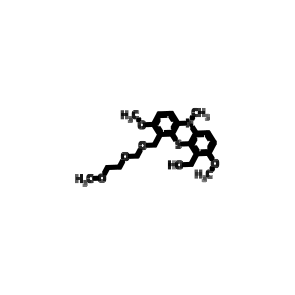 COCCOCOCc1c(OC)ccc2c1Sc1c(ccc(OC)c1CO)N2C